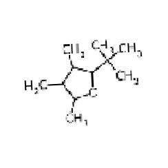 CC1OC(C(C)(C)C)C(C)C1C